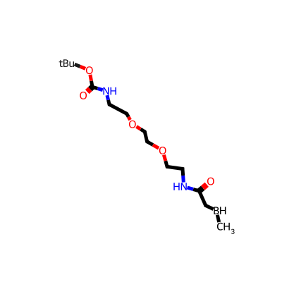 CBCC(=O)NCCOCCOCCNC(=O)OC(C)(C)C